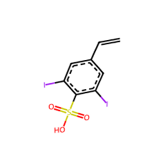 C=Cc1cc(I)c(S(=O)(=O)O)c(I)c1